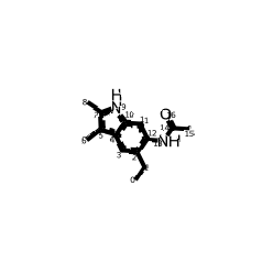 CCc1cc2c(C)c(C)[nH]c2cc1NC(C)=O